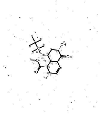 COC(=O)[C@@H]1[C@@H]2C(C=C[C@@H]1C)C(=O)[C@@H](O)C[C@@H]2O[Si](C)(C)C(C)(C)C